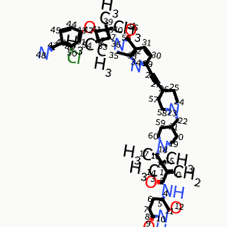 C=C(C(=O)NC1CCC(=O)NC1=O)C(C)(C)[C@H](C)N1CCC(CN2CCC(C#Cc3ccc4c(n3)CN([C@H]3C(C)(C)[C@H](Oc5ccc(C#N)c(Cl)c5)C3(C)C)C4=O)CC2)CC1